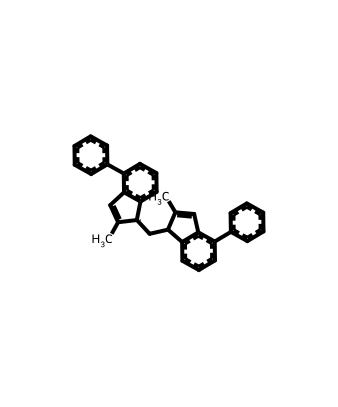 CC1=Cc2c(cccc2-c2ccccc2)[C]1C[C]1C(C)=Cc2c1cccc2-c1ccccc1